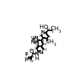 CC[C@H](O)c1cc(C)c(-c2cc3cnc(NC(=O)[C@H]4CC4(F)F)cc3n3ncnc23)cn1